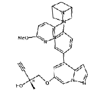 C#C[C@@](C)(O)COc1cc(-c2ccc(N3CC4CC(C3)N4Cc3ccc(OC)nc3)nc2)c2ccnn2c1